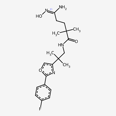 CC(C)(CC/C(N)=N\O)C(=O)NCC(C)(C)c1coc(-c2ccc(F)cc2)n1